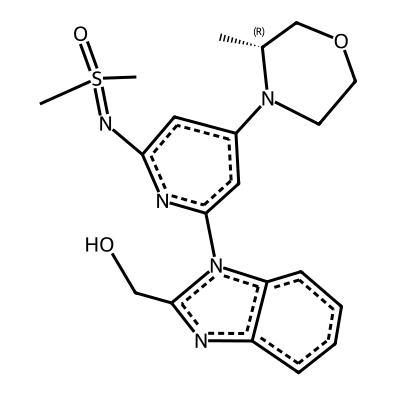 C[C@@H]1COCCN1c1cc(N=S(C)(C)=O)nc(-n2c(CO)nc3ccccc32)c1